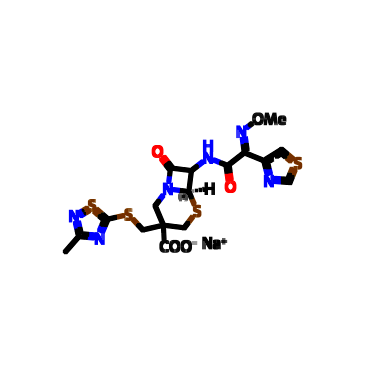 CON=C(C(=O)NC1C(=O)N2CC(CSc3nc(C)ns3)(C(=O)[O-])CS[C@H]12)c1cscn1.[Na+]